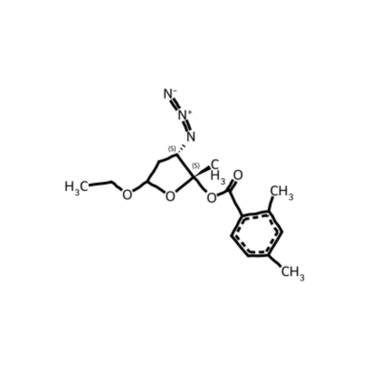 CCOC1C[C@H](N=[N+]=[N-])[C@](C)(OC(=O)c2ccc(C)cc2C)O1